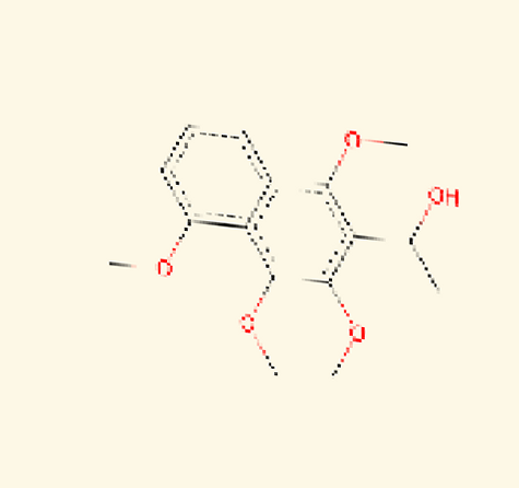 COc1c(C(C)O)c(OC)c2cccc(OC)c2c1OC